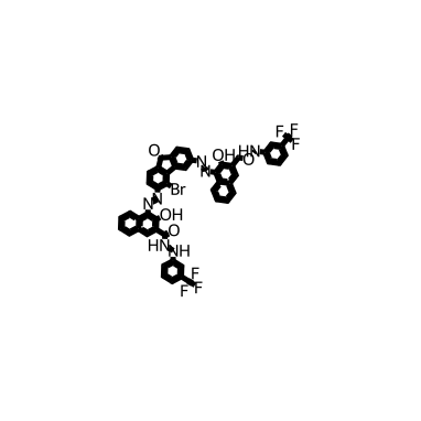 O=C(NNc1cccc(C(F)(F)F)c1)c1cc2ccccc2c(N=Nc2ccc3c(c2Br)-c2cc(N=Nc4c(O)c(CONc5cccc(C(F)(F)F)c5)cc5ccccc45)ccc2C3=O)c1O